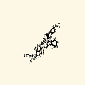 Cc1c(S(=O)(=O)NC(CC(=O)NC2CCOc3cc(CN(C)CC(C)C)ccc32)c2ccccc2)sc2ccc(OC(F)(F)F)cc12